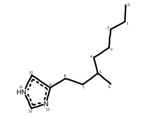 CCCCC[C](C)CCc1c[nH]cn1